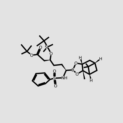 CC(C)(C)OC(=O)C[C@H](CC[C@H](NS(=O)(=O)c1ccccc1)B1O[C@@H]2C[C@@H]3C[C@@H](C3(C)C)[C@]2(C)O1)O[Si](C)(C)C(C)(C)C